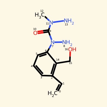 C=Cc1cccc(N(N)C(=O)N(C)N)c1CO